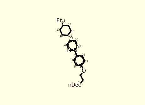 CCCCCCCCCCCCOc1ccc(-c2ncc([C@H]3CC[C@H](CC)CC3)cn2)cc1